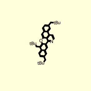 CC(C)(C)Cc1ccc2c(CC(C)(C)C)c3c(cc2c1)-c1nccc2c1c(cc1ccc(CC(C)(C)C)cc12)O3